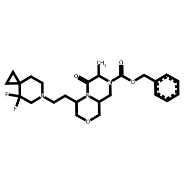 CC1C(=O)N2C(CCN3CCC4(CC4)C(F)(F)C3)COCC2CN1C(=O)OCc1ccccc1